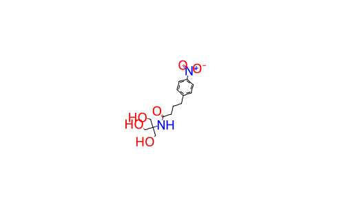 O=C(CCCc1ccc([N+](=O)[O-])cc1)NC(CO)(CO)CO